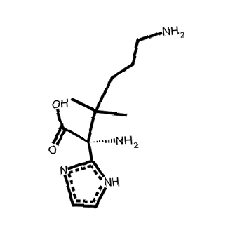 CC(C)(CCCN)[C@](N)(C(=O)O)c1ncc[nH]1